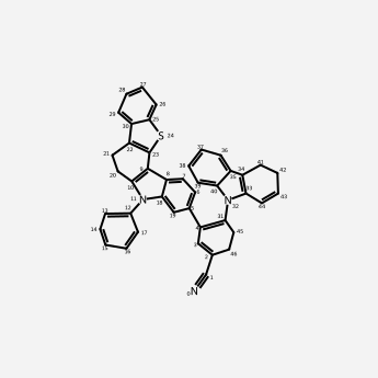 N#CC1=CC(c2ccc3c4c(n(-c5ccccc5)c3c2)CCc2c-4sc3ccccc23)=C(n2c3c(c4ccccc42)CCC=C3)CC1